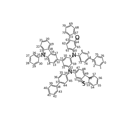 c1ccc(-c2ccc(N(c3cc(-c4ccc5c(c4)c4ccccc4n5-c4ccccc4)cc(N(c4ccc(-c5ccccc5)cc4)c4ccc5c(c4)sc4ccccc45)c3)c3ccc4c(c3)oc3ccccc34)cc2)cc1